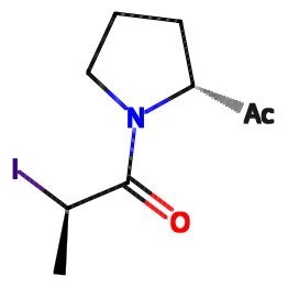 CC(=O)[C@H]1CCCN1C(=O)[C@@H](C)I